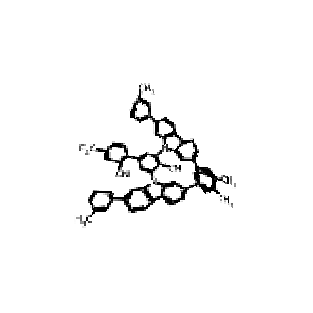 Cc1cccc(-c2ccc3c4ccc(-c5cccc(C)c5)cc4n(-c4cc(-c5ccc(C(F)(F)F)cc5C#N)cc(-n5c6cc(-c7cccc(C)c7)ccc6c6ccc(-c7cccc(C)c7)cc65)c4C#N)c3c2)c1